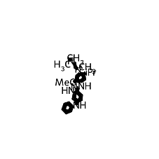 COc1cc(N(C)CCN(C)C)c(C(C)C)cc1Nc1n[nH]c2cc(Nc3ccccc3)ccc12